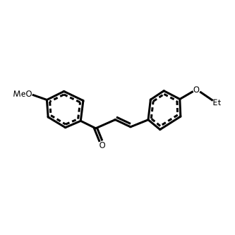 CCOc1ccc(/C=C/C(=O)c2ccc(OC)cc2)cc1